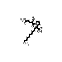 CCCCCCCCCCC(C(=O)O)C1CCCN1C(=O)C(N)CCC(N)=O